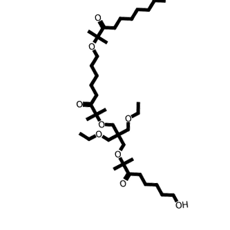 CCOCC(COCC)(COC(C)(C)C(=O)CCCCCO)COC(C)(C)C(=O)CCCCCOC(C)(C)C(=O)CCCCCC(C)C